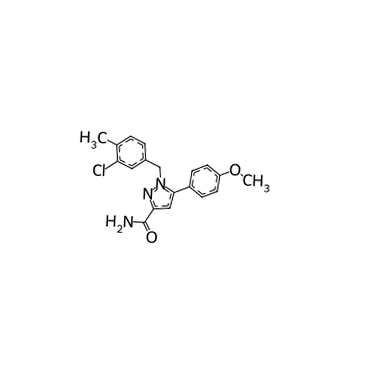 COc1ccc(-c2cc(C(N)=O)nn2Cc2ccc(C)c(Cl)c2)cc1